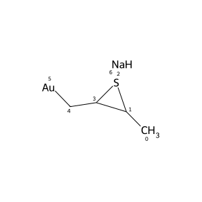 CC1SC1[CH2][Au].[NaH]